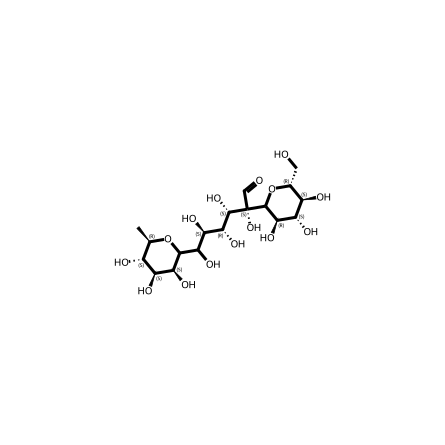 C[C@H]1OC(C(O)[C@@H](O)[C@@H](O)[C@H](O)[C@@](O)(C=O)C2O[C@H](CO)[C@@H](O)[C@H](O)[C@H]2O)[C@@H](O)[C@@H](O)[C@@H]1O